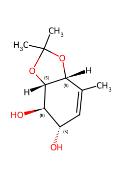 CC1=C[C@H](O)[C@@H](O)[C@@H]2OC(C)(C)O[C@H]12